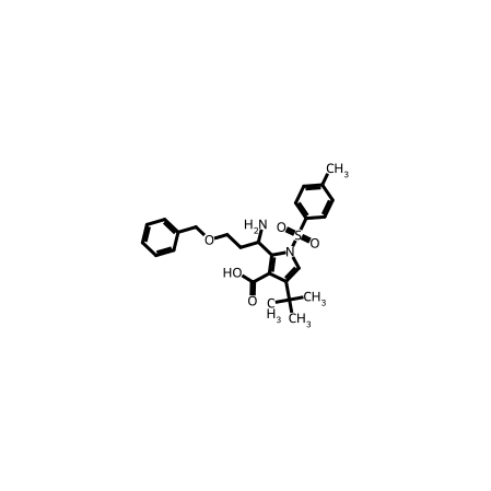 Cc1ccc(S(=O)(=O)n2cc(C(C)(C)C)c(C(=O)O)c2C(N)CCOCc2ccccc2)cc1